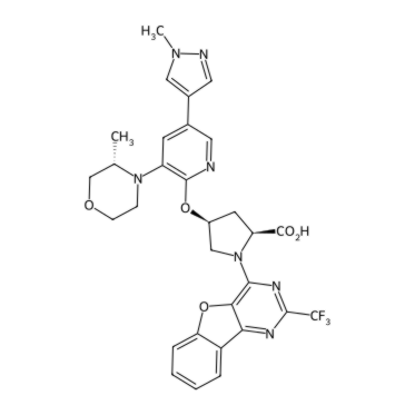 C[C@H]1COCCN1c1cc(-c2cnn(C)c2)cnc1O[C@H]1C[C@@H](C(=O)O)N(c2nc(C(F)(F)F)nc3c2oc2ccccc23)C1